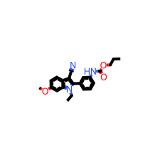 CCCOC(=O)Nc1cccc(-c2c(C#N)c3ccc(OC)cc3n2CC)c1